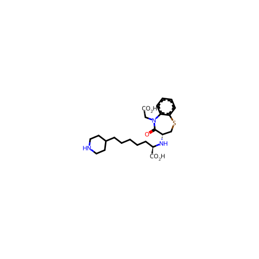 O=C(O)CN1C(=O)[C@@H](N[C@H](CCCCCC2CCNCC2)C(=O)O)CSc2ccccc21